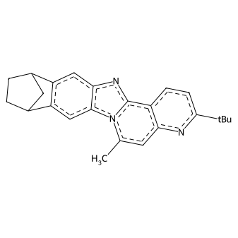 Cc1cc2nc(C(C)(C)C)ccc2c2nc3cc4c(cc3n12)C1CCC4C1